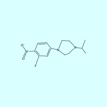 CC(C)N1CCN(c2ccc([N+](=O)[O-])c(F)c2)CC1